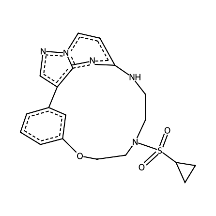 O=S(=O)(C1CC1)N1CCNc2ccn3ncc(c3n2)-c2cccc(c2)OCC1